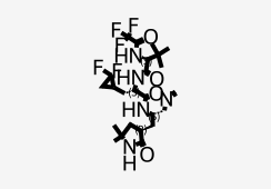 C=NC[C@H](C[C@@H]1CC(C)(C)NC1=O)NC(=O)[C@H](CC1CC1(F)F)NC(=O)[C@@H](NC(=O)C(F)(F)F)C(C)(C)C